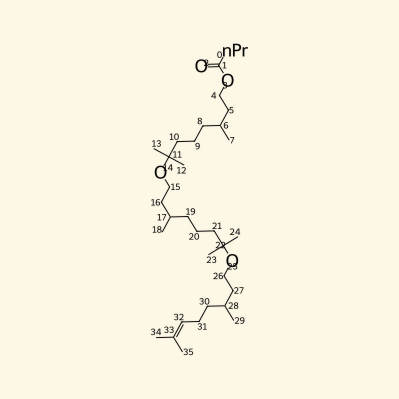 CCCC(=O)OCCC(C)CCCC(C)(C)OCCC(C)CCCC(C)(C)OCCC(C)CCC=C(C)C